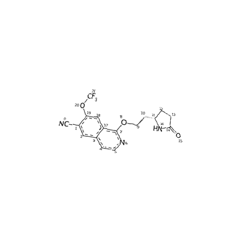 N#Cc1cc2ccnc(OCC[C@@H]3CCC(=O)N3)c2cc1OC(F)(F)F